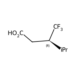 CC(C)[C@@H](CC(=O)O)C(F)(F)F